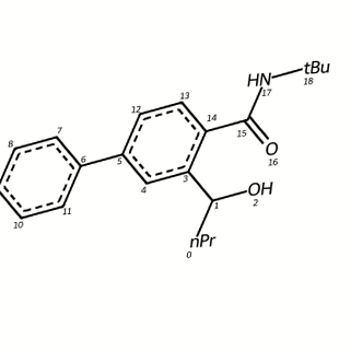 CCCC(O)c1cc(-c2ccccc2)ccc1C(=O)NC(C)(C)C